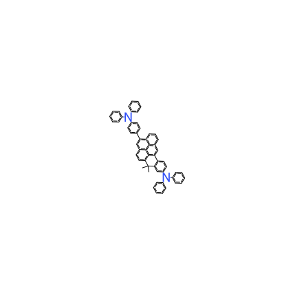 CC1(C)c2cc(N(c3ccccc3)c3ccccc3)ccc2-c2cc3cccc4c(-c5ccc(N(c6ccccc6)c6ccccc6)cc5)cc5ccc1c2c5c34